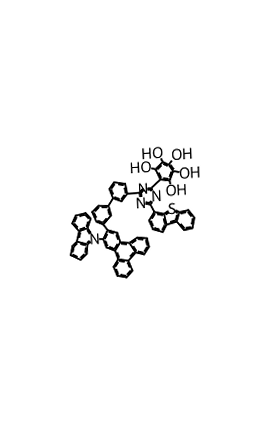 Oc1c(O)c(O)c(-c2nc(-c3cccc(-c4cccc(-c5cc6c7ccccc7c7ccccc7c6cc5-n5c6ccccc6c6ccccc65)c4)c3)nc(-c3cccc4c3sc3ccccc34)n2)c(O)c1O